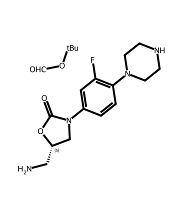 CC(C)(C)OC=O.NC[C@H]1CN(c2ccc(N3CCNCC3)c(F)c2)C(=O)O1